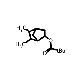 CC1C2CC(OC(=O)C(C)(C)C)C(C2)C1C